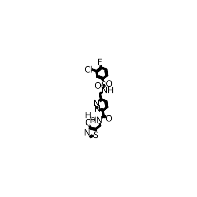 Cc1ncsc1CNC(=O)c1ccc(CNS(=O)(=O)c2ccc(F)c(Cl)c2)nn1